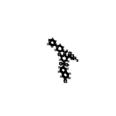 CN(C1CCN(c2ccncc2)CC1)N1C(=O)CN(S(=O)(=O)c2ccc3cc(Cl)ccc3c2)CC1C(N)=O.Cl